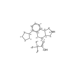 O=C(O)C(F)(F)F.c1cc(C2CCCC2)c2c(c1)C1CNCC1OC2